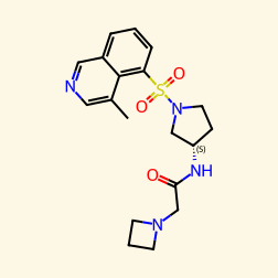 Cc1cncc2cccc(S(=O)(=O)N3CC[C@H](NC(=O)CN4CCC4)C3)c12